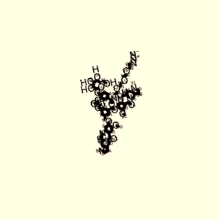 COc1cc2c(cc1OCc1cc(COc3cc4c(cc3OC)C(=O)N3Cc5ccn(C)c5C[C@H]3C=N4)cc(OS(=O)(=O)Oc3cc(C(=O)NCCOCCOCCOCCN=[N+]=[N-])ccc3O[C@@H]3O[C@H](CO)[C@H](O)[C@H](O)[C@H]3O)c1)N=C[C@@H]1Cc3c(ccn3C)CN1C2=O